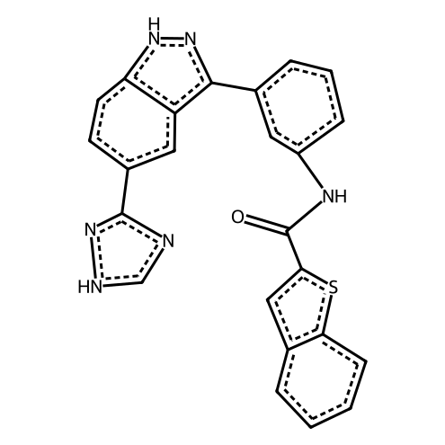 O=C(Nc1cccc(-c2n[nH]c3ccc(-c4nc[nH]n4)cc23)c1)c1cc2ccccc2s1